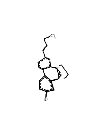 CCCCc1ccc2c(c1)[C@]13CCC[C@]1(CCC3)c1cc(Br)ccc1-2